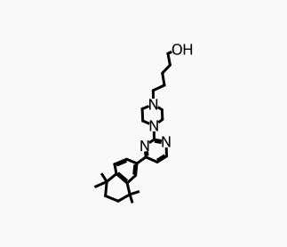 CC1(C)CCC(C)(C)c2cc(-c3ccnc(N4CCN(CCCCCO)CC4)n3)ccc21